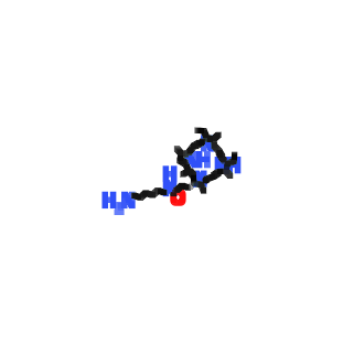 CCC1=C(C)c2cc3[nH]c(cc4nc(c(C)c5cc(C)c(cc1n2)[nH]5)[C@@H](CCC(=O)NCCCCCCN)[C@@H]4C)c(C)c3CC